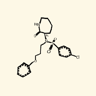 O=C1NCCCC[C@H]1N(CCCOc1ccccc1)S(=O)(=O)c1ccc(Cl)cc1